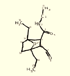 CCNC(=O)C1C(C=O)C2(CC)CCC1(CC)O2